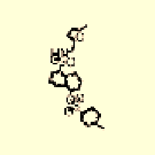 Cc1ccc(S(=O)(=O)Oc2cccc3c(S(=O)(=O)NCc4ccc(C)o4)cccc23)cc1